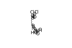 O=C(NC(Cc1ccccc1)C(=O)O)c1ccc(N2CCC(CCCC3CCN(S(=O)(=O)c4ccc(Cl)c(Cl)c4)CC3)CC2)nc1